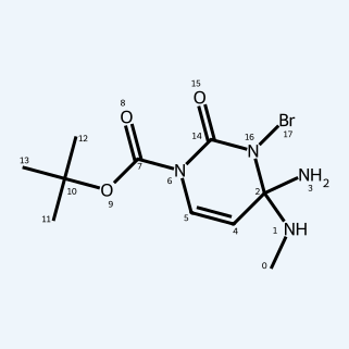 CNC1(N)C=CN(C(=O)OC(C)(C)C)C(=O)N1Br